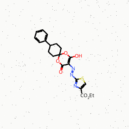 CCOC(=O)c1csc(N=NC2=C(O)OC3(CCC(c4ccccc4)CC3)OC2=O)n1